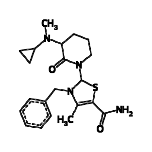 CC1=C(C(N)=O)SC(N2CCCC(N(C)C3CC3)C2=O)N1Cc1ccccc1